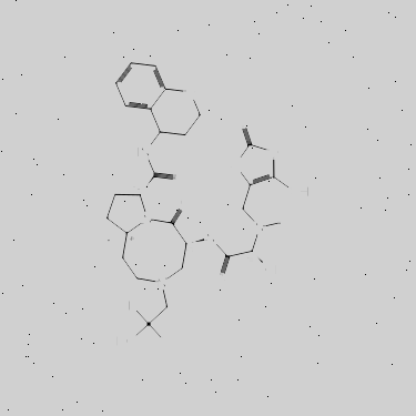 Cc1oc(=O)oc1CN(C)[C@@H](C)C(=O)N[C@H]1CN(CC(C)(F)F)CC[C@H]2CC[C@@H](C(=O)NC3CCOc4ccccc43)N2C1=O